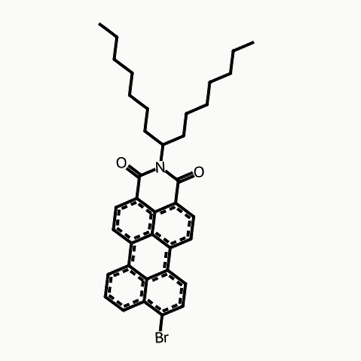 CCCCCCCC(CCCCCCC)N1C(=O)c2ccc3c4cccc5c(Br)ccc(c6ccc(c2c36)C1=O)c54